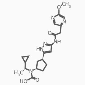 COc1cnc(CC(=O)Nc2cc([C@H]3CC[C@@H](N(C(=O)O)[C@H](C)C4CC4)C3)[nH]n2)cn1